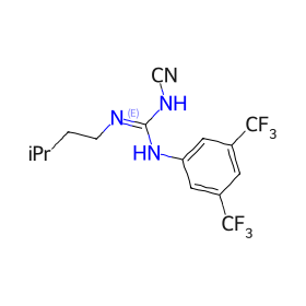 CC(C)CC/N=C(/NC#N)Nc1cc(C(F)(F)F)cc(C(F)(F)F)c1